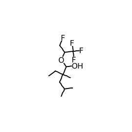 CCC(C)(CC(C)C)C(O)OC(CF)C(F)(F)F